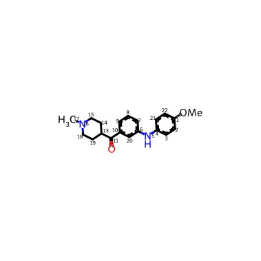 COc1ccc(Nc2cccc(C(=O)C3CCN(C)CC3)c2)cc1